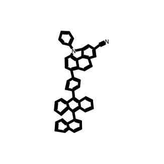 N#Cc1cc2ccc3c(-c4ccc(-c5c6ccccc6c(-c6cccc7ccccc67)c6ccccc56)cc4)ccc4c3c2c(c1)n4-c1ccccc1